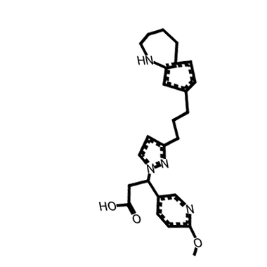 COc1ccc(C(CC(=O)O)n2ccc(CCCc3ccc4c(c3)NCCCC4)n2)cn1